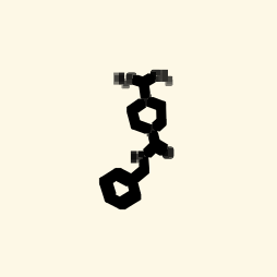 CC(C)N1CCN(C(=O)NCc2ccccc2)CC1